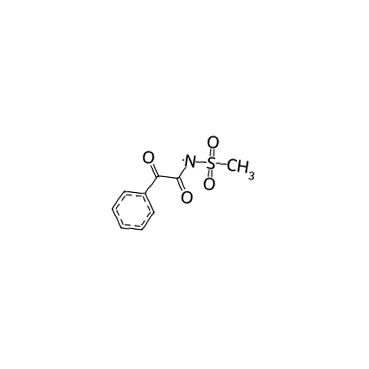 CS(=O)(=O)[N]C(=O)C(=O)c1ccccc1